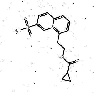 CS(=O)(=O)c1ccc2cccc(CCNC(=O)C3CC3)c2c1